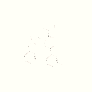 CN(C#N)C(=O)[C@H](CS(=O)(=O)Cc1ccccc1)NC(=O)c1cccc(O)c1